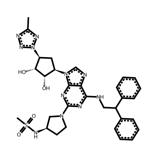 Cc1nnn([C@H]2C[C@@H](n3cnc4c(NCC(c5ccccc5)c5ccccc5)nc(N5CC[C@@H](NS(C)(=O)=O)C5)nc43)[C@H](O)[C@@H]2O)n1